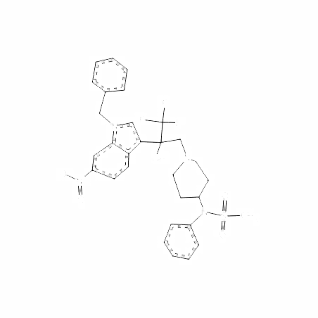 CS(=O)(=O)N(c1ccccc1)C1CCN(CC(O)(c2cn(Cc3ccccc3)c3cc([N+](=O)[O-])ccc23)C(F)(F)F)CC1